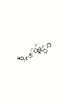 O=C(O)C1CCN(C2CCc3c2cc2nc(-c4cccc(-c5ccccc5)c4F)oc2c3F)C1